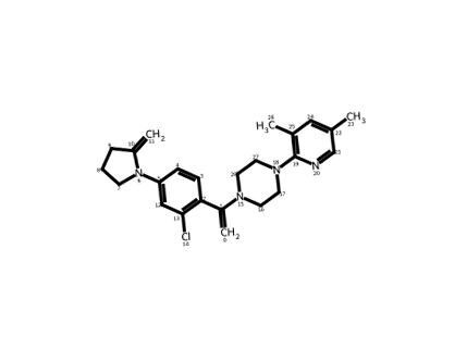 C=C(c1ccc(N2CCCC2=C)cc1Cl)N1CCN(c2ncc(C)cc2C)CC1